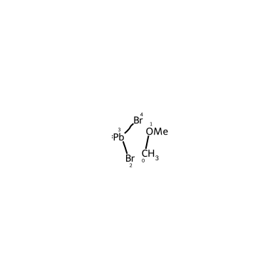 COC.[Br][Pb][Br]